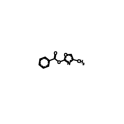 Cc1coc(OC(=O)c2ccccc2)n1